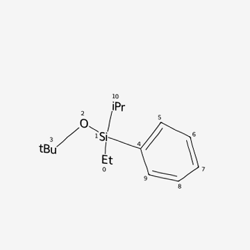 CC[Si](OC(C)(C)C)(c1ccccc1)C(C)C